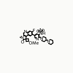 COC1CC2(C1)C(=O)N(C)c1cnc3cc(F)c(-c4cnc(N5CCC(N6CCCCC6)CC5)c(NS(C)(=O)=O)c4)cc3c12